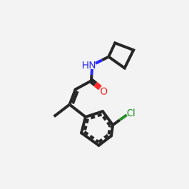 C/C(=C/C(=O)NC1CCC1)c1cccc(Cl)c1